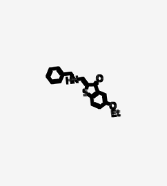 CCOc1ccc2c(c1)C(=O)C(=CNCc1ccccc1)S2